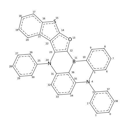 c1ccc(N2c3ccccc3B3c4oc5sc6ccccc6c5c4N(c4ccccc4)c4cccc2c43)cc1